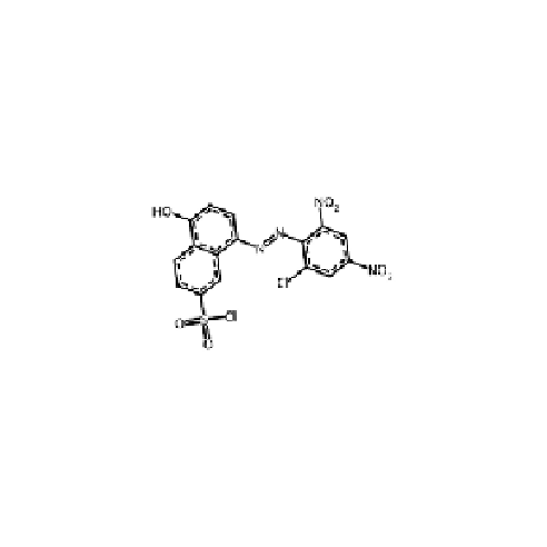 O=[N+]([O-])c1cc(Cl)c(N=Nc2ccc(O)c3ccc(S(=O)(=O)Cl)cc23)c([N+](=O)[O-])c1